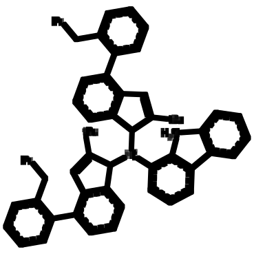 CC(C)Cc1ccccc1-c1cccc2c1C=C(C(C)(C)C)[CH]2[Hf]([c]1cccc2c1[SiH2]c1ccccc1-2)[CH]1C(C(C)(C)C)=Cc2c(-c3ccccc3CC(C)C)cccc21